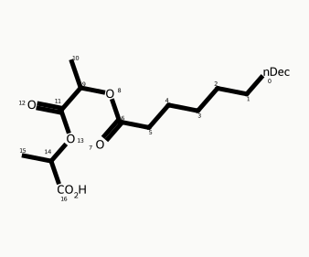 CCCCCCCCCCCCCCCC(=O)OC(C)C(=O)OC(C)C(=O)O